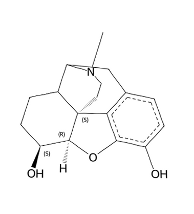 CN1CC[C@]23c4c5ccc(O)c4O[C@H]2[C@@H](O)CCC3C1C5